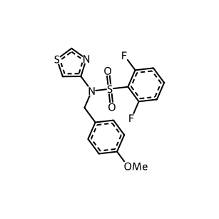 COc1ccc(CN(c2cscn2)S(=O)(=O)c2c(F)cccc2F)cc1